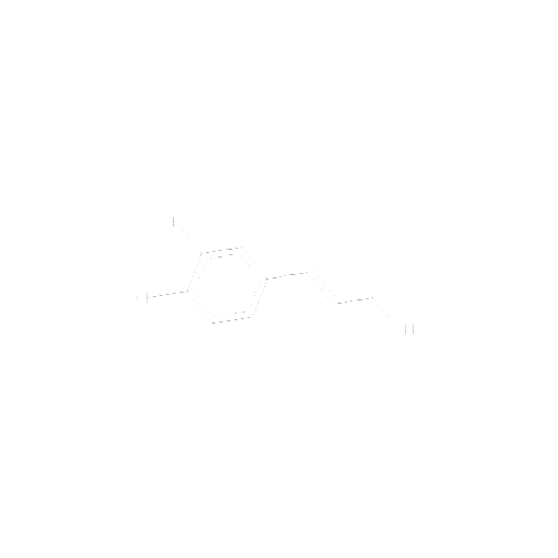 CC/C=C/c1ccc(Cl)c(F)c1